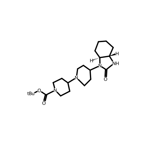 CC(C)(C)OC(=O)N1CCC(N2CCC(N3C(=O)N[C@H]4CCCC[C@@H]43)CC2)CC1